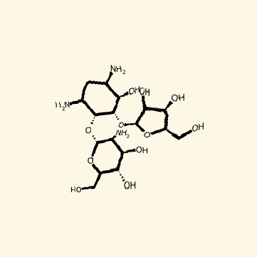 NC1C[C@@H](N)[C@@H](O)[C@H](O[C@@H]2O[C@H](CO)[C@H](O)C2O)[C@@H]1O[C@H]1OC(CO)[C@@H](O)[C@H](O)[C@@H]1N